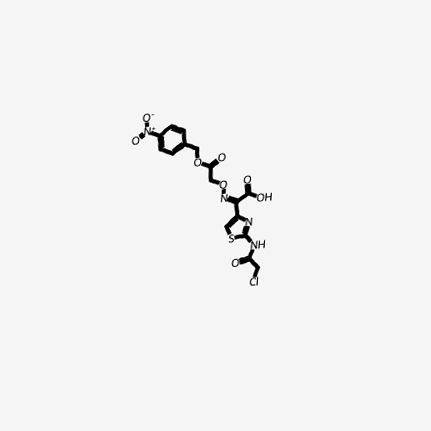 O=C(CCl)Nc1nc(/C(=N/OCC(=O)OCc2ccc([N+](=O)[O-])cc2)C(=O)O)cs1